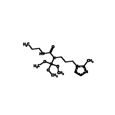 CCCNC(=O)N(CCCn1ccnc1C)[Si](OC)(OC)OC